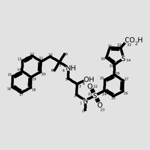 CN(CC(O)CNC(C)(C)Cc1ccc2ccccc2c1)S(=O)(=O)c1cccc(-c2ccc(C(=O)O)s2)c1